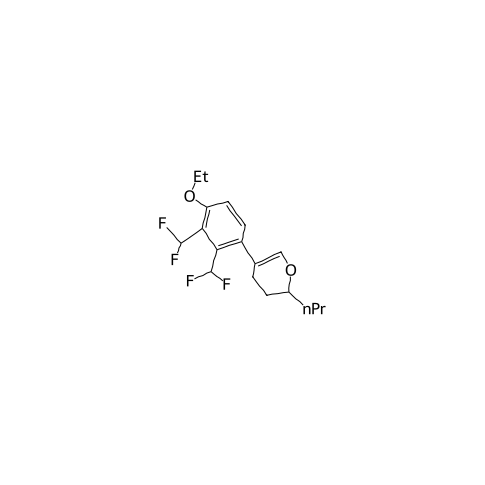 CCCC1CCC(c2ccc(OCC)c(C(F)F)c2C(F)F)=CO1